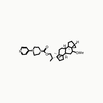 COC1C[C@H]2[C@@H]3CC[C@H](C(C)COC(=O)N4CCN(c5ccncc5)CC4)[C@@]3(C)CC[C@@H]2[C@@]2(C)CC[C@@H]3C[C@]132